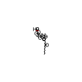 CCCCCCCC(=O)CCc1ccc(OC(=O)NC(C(=O)O[C@@H]2C[C@@H]3CC[C@]2(C)C3(C)C)C(C)C)c(OC)c1